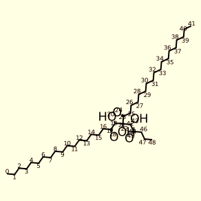 CCCCCCCCCCCCCCCCCC(=O)C(O)C(O)(C(=O)CCCCCCCCCCCCCCCCC)C(O)C(=O)CCC